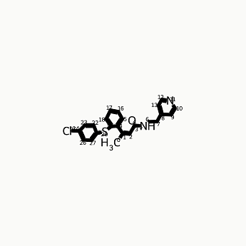 C/C(=C/C(=O)NCCc1ccncc1)c1ccccc1Sc1ccc(Cl)cc1